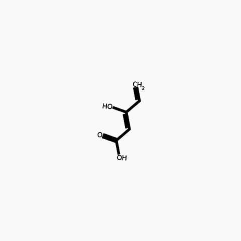 C=C/C(O)=C/C(=O)O